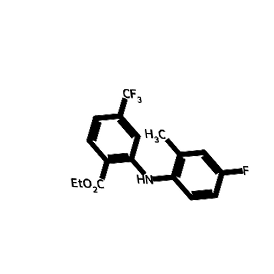 CCOC(=O)c1ccc(C(F)(F)F)cc1Nc1ccc(F)cc1C